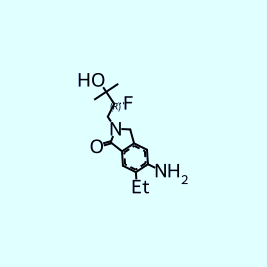 CCc1cc2c(cc1N)CN(C[C@@H](F)C(C)(C)O)C2=O